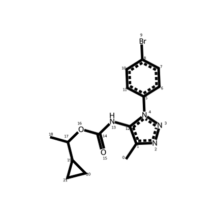 Cc1nnn(-c2ccc(Br)cc2)c1NC(=O)OC(C)C1CC1